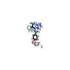 Cc1nc2ncnn2c(N[C@@H](C)c2ccc(OC(F)(F)F)cc2)c1Cl